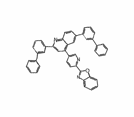 c1ccc(-c2cccc(-c3ccc4nc(-c5cccc(-c6ccccc6)c5)cc(-c5ccc(-c6nc7ccccc7o6)nc5)c4c3)c2)cc1